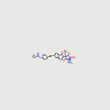 CNC(=O)[C@@](C)(C(=O)NO)N(C)C(=O)c1ccc(C#Cc2ccc(CNC3CCC3)cc2)cc1